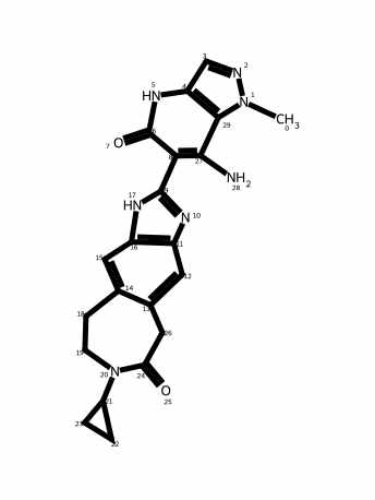 Cn1ncc2[nH]c(=O)c(-c3nc4cc5c(cc4[nH]3)CCN(C3CC3)C(=O)C5)c(N)c21